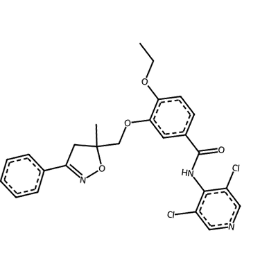 CCOc1ccc(C(=O)Nc2c(Cl)cncc2Cl)cc1OCC1(C)CC(c2ccccc2)=NO1